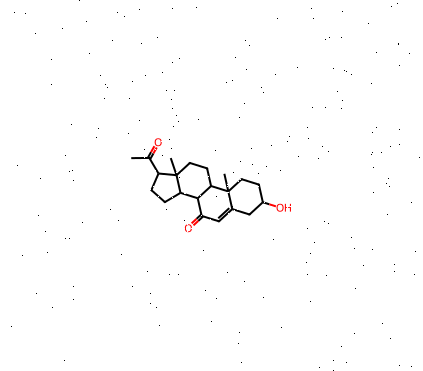 CC(=O)C1CCC2C3C(=O)C=C4CC(O)CCC4(C)C3CCC12C